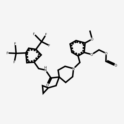 COc1cccc(CN2CCC(CC3CC3)(C(=O)NCc3cc(C(F)(F)F)cc(C(F)(F)F)c3)CC2)c1OCOC=O